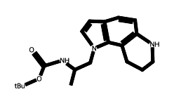 CC(Cn1ccc2ccc3c(c21)CCCN3)NC(=O)OC(C)(C)C